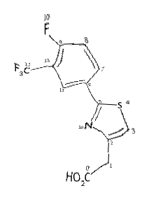 O=C(O)Cc1csc(-c2ccc(F)c(C(F)(F)F)c2)n1